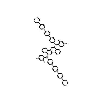 Cc1ccc(N(c2ccc(-c3ccc(-c4ccc(C5CCCCC5)cc4)cc3)cc2)c2cc3c4ccccc4c(N(c4ccc(-c5ccc(-c6ccc(C7CCCCC7)cc6)cc5)cc4)c4ccc(C)cc4C)cc3c3ccccc23)c(C)c1